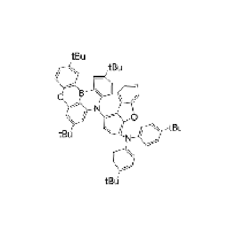 CC(C)(C)c1ccc(N(c2ccc(C(C)(C)C)cc2)c2ccc(N3c4ccc(C(C)(C)C)cc4B4c5cc(C(C)(C)C)ccc5Oc5cc(C(C)(C)C)cc3c54)c3c2oc2ccccc23)cc1